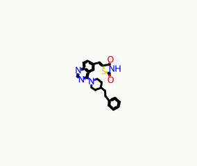 O=C1NC(=O)C(=Cc2ccc3ncnc(N4CCC(CCc5ccccc5)CC4)c3c2)S1